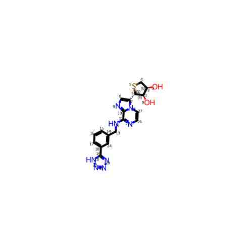 O[C@@H]1[C@H](O)CS[C@H]1c1cnc2c(NCc3cccc(-c4nnn[nH]4)c3)nccn12